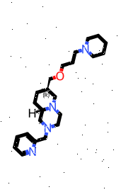 c1ccc(CN2CCN3C[C@H](COCCCN4CCCCC4)CC[C@H]3C2)nc1